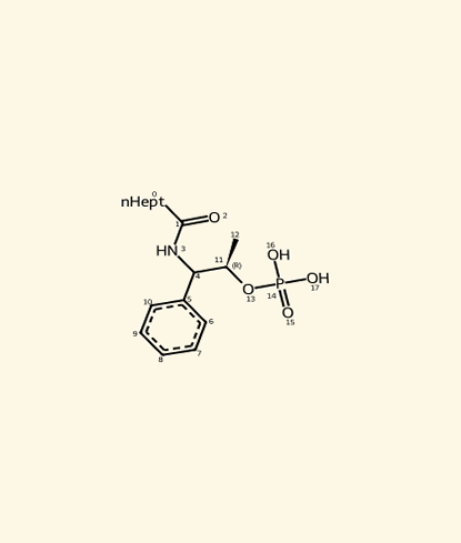 CCCCCCCC(=O)NC(c1ccccc1)[C@@H](C)OP(=O)(O)O